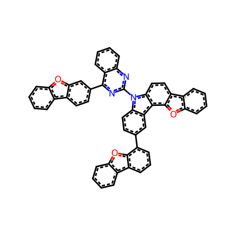 c1ccc2c(-c3ccc4c(c3)oc3ccccc34)nc(-n3c4ccc(-c5cccc6c5oc5ccccc56)cc4c4c5oc6ccccc6c5ccc43)nc2c1